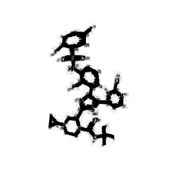 CC(C)(C)OC(=O)N1CCN(C2CC2)CC1c1nc(-c2cccc(NS(=O)(=O)c3cc(F)ccc3F)c2F)c(-c2ccnc(Cl)n2)s1